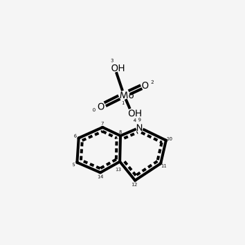 [O]=[Mo](=[O])([OH])[OH].c1ccc2ncccc2c1